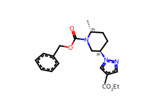 CCOC(=O)c1cnn([C@@H]2CC[C@@H](C)N(C(=O)OCc3ccccc3)C2)c1